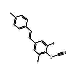 Cc1ccc(C=Cc2cc(F)c(SC#N)c(F)c2)cc1